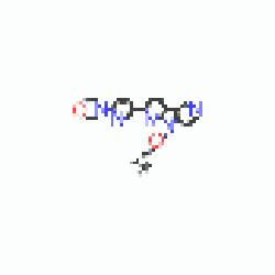 C[Si](C)(C)CCOCn1c2ccncc2c2ccc(-c3ccc(N4CCOCC4)nc3)nc21